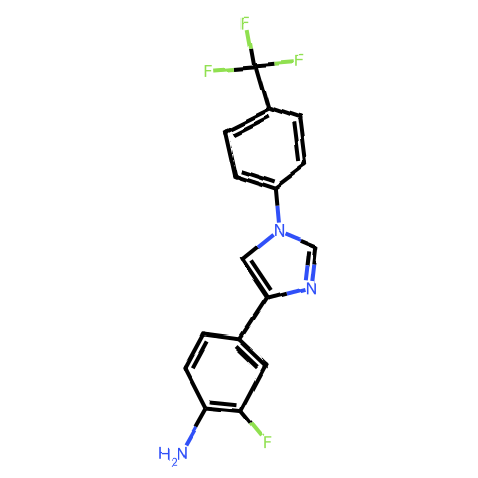 Nc1ccc(-c2cn(-c3ccc(C(F)(F)F)cc3)cn2)cc1F